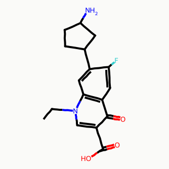 CCn1cc(C(=O)O)c(=O)c2cc(F)c(C3CCC(N)C3)cc21